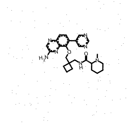 CN1CCCCC1C(=O)NCC1(COc2c(-c3cncnc3)ccc3ncc(N)nc23)CCC1